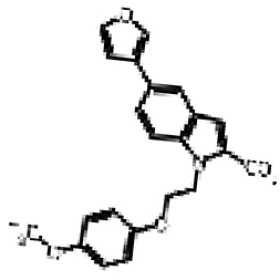 O=C(O)c1cc2cc(-c3ccoc3)ccc2n1CCOc1ccc(OC(F)(F)F)cc1